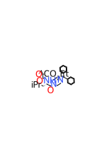 CCOC(=O)C1(C(=O)N[C@@H](CC(C)C)C(=O)N2CCN(C(c3ccccc3)c3ccccc3)CC2)CO1